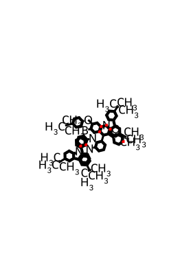 CC(C)(C)c1ccc2c(c1)B1c3ccc(-n4c5ccc(C(C)(C)C)cc5c5cc(C(C)(C)C)ccc54)cc3N(c3c(-c4cccc5oc6ccccc6c45)cccc3-n3c4ccccc4c4ccccc43)c3cc(-n4c5ccc(C(C)(C)C)cc5c5cc(C(C)(C)C)ccc54)cc(c31)O2